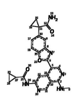 CNc1ncc(-c2nc3cc(C4(C(N)=O)CC4)ccc3o2)c2cc(NC(=O)C3CC3)ncc12